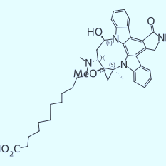 CO[C@]12C[C@]1(C)n1c3ccccc3c3c4c(c5c6ccccc6n(c5c31)[C@H](O)C[C@H]2N(C)CCCCCCCCCCCC(=O)O)C(=O)NC4